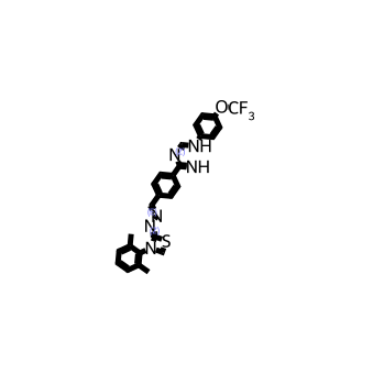 Cc1cccc(C)c1N1CS/C1=N\N=C\c1ccc(C(=N)/N=C\Nc2ccc(OC(F)(F)F)cc2)cc1